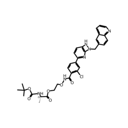 C[C@H](NC(=O)OC(C)(C)C)C(=O)OCCONC(=O)c1ccc(-c2ccc3[nH]n(Cc4ccc5ncccc5c4)c3n2)cc1Cl